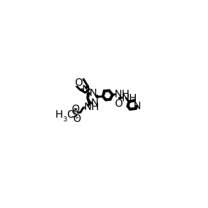 CS(=O)(=O)CCNc1cc(N2C3CCC2COC3)nc(-c2ccc(NC(=O)Nc3cccnc3)cc2)n1